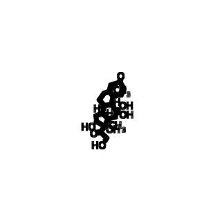 C[C@]12C=CC(=O)C=C1CC[C@@H]1[C@@H]2C(O)(O)C[C@@]2(C)[C@H]1CC(O)[C@]2(O)C(=O)CO